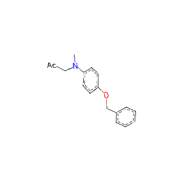 CC(=O)CN(C)c1ccc(OCc2ccccc2)cc1